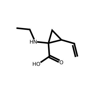 C=CC1CC1(NCC)C(=O)O